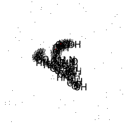 CC(C)[C@H](NC(=O)[C@@H](CCC(=O)NCCS(=O)(=O)O)NC(=O)CCOCCOCCOCCOCCNC(=O)CCC(=O)N1Cc2ccccc2C#Cc2ccccc21)C(=O)N[C@@H](CCCNC(N)=O)C(=O)Nc1ccc(COC(=O)N[C@@H](CO)C(=O)Nc2ccc3c(c2)[C@@]2(C)CCC[C@](C)(C(=O)NC(=O)[C@@]4(C)CCC[C@]5(C)c6cc(O)ccc6CC[C@@H]45)[C@@H]2CC3)cc1